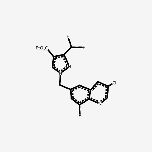 CCOC(=O)c1cn(Cc2cc(F)c3ncc(Cl)cc3c2)nc1C(F)F